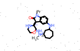 CC(C)N1C(=O)/C(=C2/COCCN2)c2cc(NC3CCCC[C@@H](N(C)N)C3)ccc21